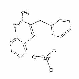 Cc1[o+]c2ccccc2cc1Cc1ccccc1.[Cl][Zn-]([Cl])[Cl]